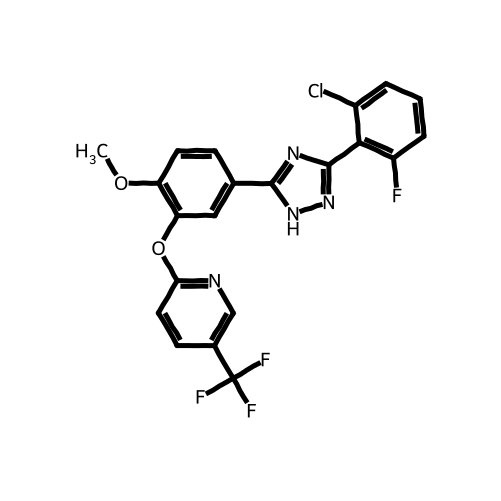 COc1ccc(-c2nc(-c3c(F)cccc3Cl)n[nH]2)cc1Oc1ccc(C(F)(F)F)cn1